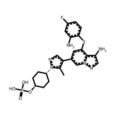 Cc1c(-c2cc(Sc3ccc(F)cc3N)c3c(N)cnn3c2)cnn1[C@H]1CC[C@H](OP(=O)(O)O)CC1